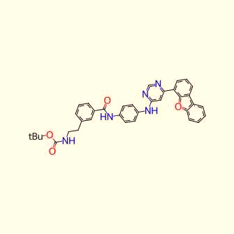 CC(C)(C)OC(=O)NCCc1cccc(C(=O)Nc2ccc(Nc3cc(-c4cccc5c4oc4ccccc45)ncn3)cc2)c1